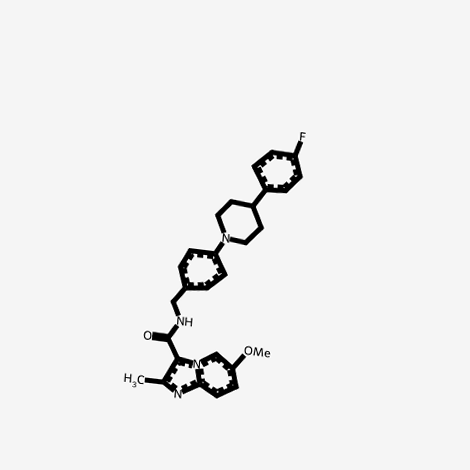 COc1ccc2nc(C)c(C(=O)NCc3ccc(N4CCC(c5ccc(F)cc5)CC4)cc3)n2c1